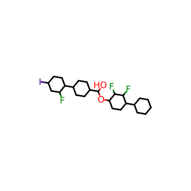 OC(OC1CCC(C2CCCCC2)C(F)C1F)C1CCC(C2CCC(I)CC2F)CC1